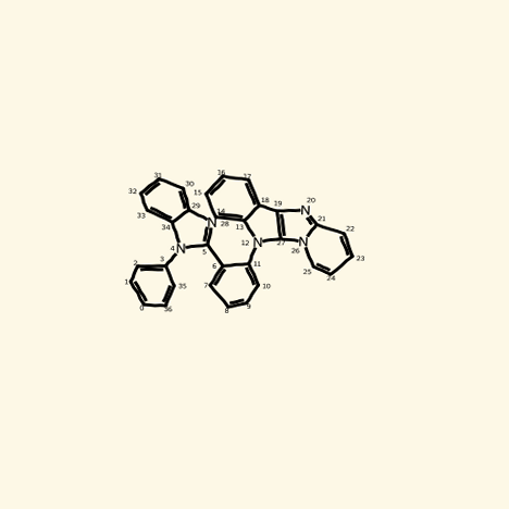 c1ccc(-n2c(-c3ccccc3-n3c4ccccc4c4nc5ccccn5c43)nc3ccccc32)cc1